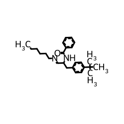 CCCCCCN=CC(Cc1ccc(C(C)(C)C)cc1)NC(=O)c1ccccc1